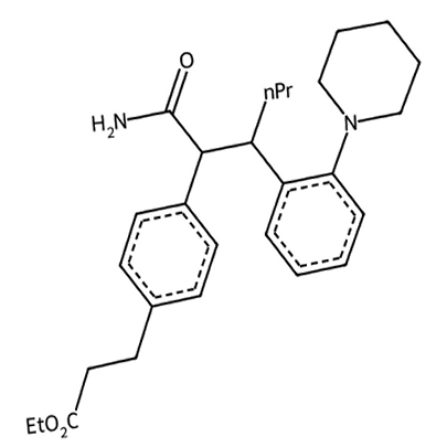 CCCC(c1ccccc1N1CCCCC1)C(C(N)=O)c1ccc(CCC(=O)OCC)cc1